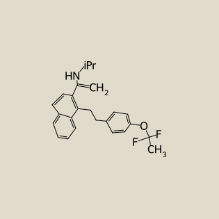 C=C(NC(C)C)c1ccc2ccccc2c1CCc1ccc(OC(C)(F)F)cc1